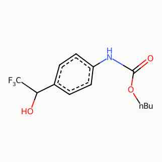 CCCCOC(=O)Nc1ccc(C(O)C(F)(F)F)cc1